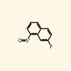 O=[S+]c1[c]ccc2ccc(F)cc12